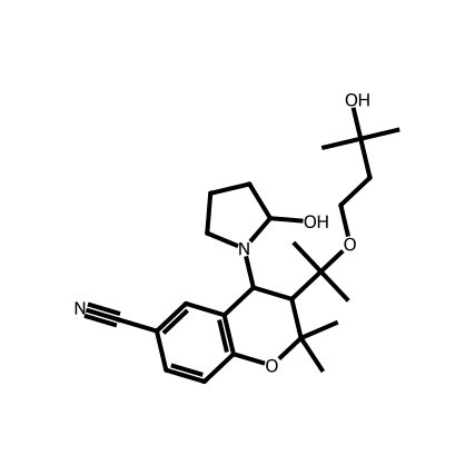 CC(C)(O)CCOC(C)(C)C1C(N2CCCC2O)c2cc(C#N)ccc2OC1(C)C